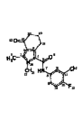 Cc1c2c(c(C(=O)Nc3ccc(F)c(Cl)c3)n1C)CCCC2=O